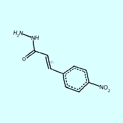 NNC(=O)/C=C/c1ccc([N+](=O)[O-])cc1